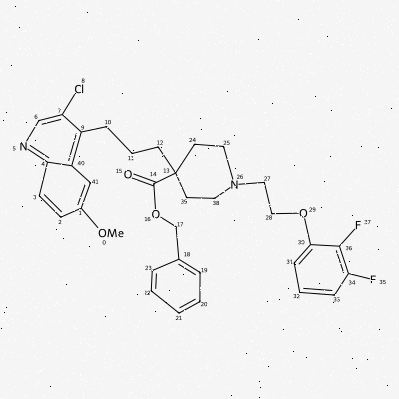 COc1ccc2ncc(Cl)c(CCCC3(C(=O)OCc4ccccc4)CCN(CCOc4cccc(F)c4F)CC3)c2c1